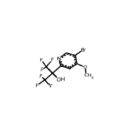 COc1cc(C(O)(C(F)(F)F)C(F)(F)F)ncc1Br